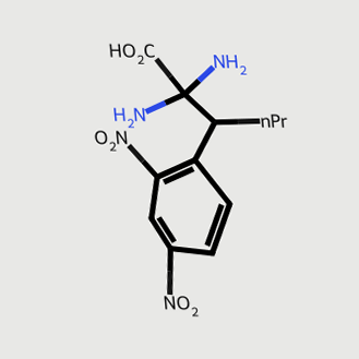 CCCC(c1ccc([N+](=O)[O-])cc1[N+](=O)[O-])C(N)(N)C(=O)O